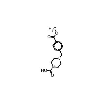 COC(=O)c1ccc(CN2CCN(C(=O)O)CC2)cc1